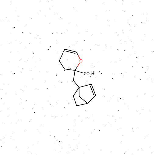 O=C(O)C1(CC23C=CC(CC2)C3)CCC=CO1